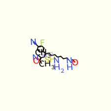 Cc1noc(C)c1/C(S)=C(/C=C/CC(N)CCCNC=O)c1ccc(C#N)c(F)c1